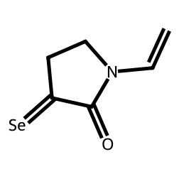 C=CN1CCC(=[Se])C1=O